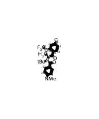 CNc1ccc(C(=O)N(N(C)C(=O)c2ccc(Cl)cc2OC(F)(F)F)C(C)(C)C)cc1